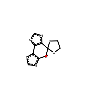 c1nc2c(s1)-c1scnc1C1(OCCO1)C21OCCO1